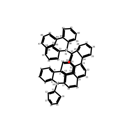 c1ccc(-c2ccccc2N(c2ccccc2)c2ccc3ccc4c5ccccc5c(N(c5ccccc5)c5ccccc5-c5ccccc5)cc4c3c2)cc1